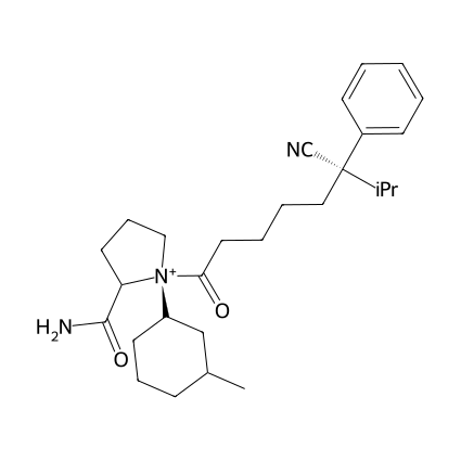 CC1CCCC([N@+]2(C(=O)CCCC[C@@](C#N)(c3ccccc3)C(C)C)CCCC2C(N)=O)C1